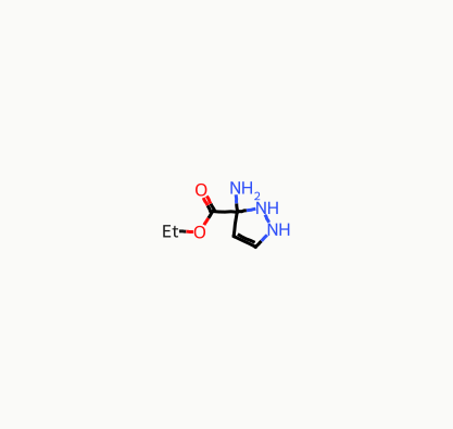 CCOC(=O)C1(N)C=CNN1